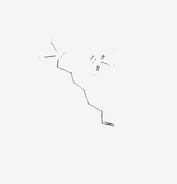 C=CCCCCCC[Si](Cl)(Cl)Cl.[K+].[O]=[Mn](=[O])(=[O])[O-]